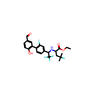 CCOC(=O)C(CC(C)(C)F)NC(c1ccc(-c2cc(C=O)ccc2O)c(F)c1)C(F)(F)F